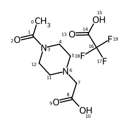 CC(=O)N1CCN(CC(=O)O)CC1.O=C(O)C(F)(F)F